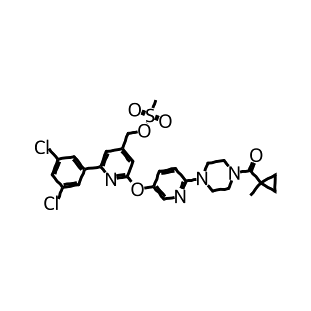 CC1(C(=O)N2CCN(c3ccc(Oc4cc(COS(C)(=O)=O)cc(-c5cc(Cl)cc(Cl)c5)n4)cn3)CC2)CC1